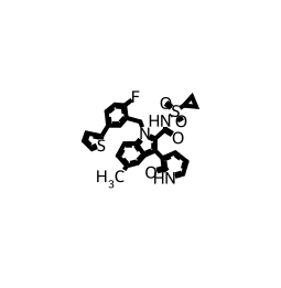 Cc1ccc2c(c1)c(-c1ccc[nH]c1=O)c(C(=O)NS(=O)(=O)C1CC1)n2Cc1cc(-c2cccs2)ccc1F